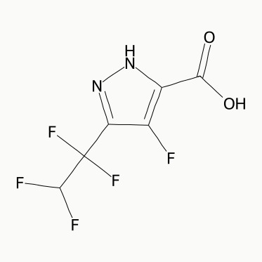 O=C(O)c1[nH]nc(C(F)(F)C(F)F)c1F